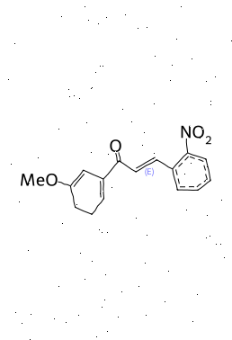 COC1=CC(C(=O)/C=C/c2ccccc2[N+](=O)[O-])=CCC1